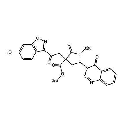 CC(C)(C)OC(=O)C(CCn1nnc2ccccc2c1=O)(CC(=O)c1noc2cc(O)ccc12)C(=O)OC(C)(C)C